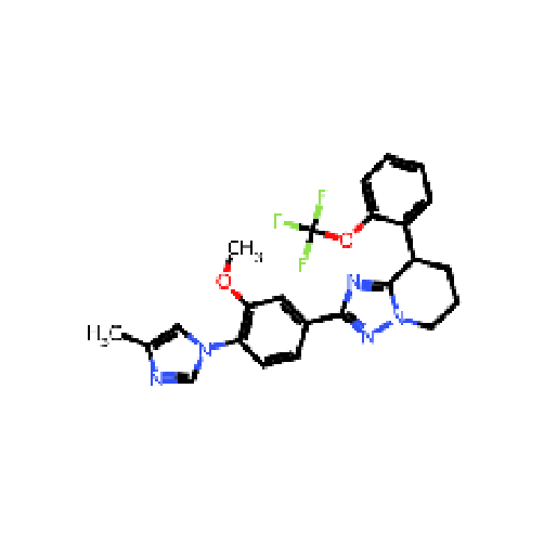 COc1cc(-c2nc3n(n2)CCCC3c2ccccc2OC(F)(F)F)ccc1-n1cnc(C)c1